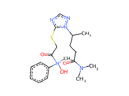 CC(CCC(=O)N(C)C)n1ncnc1SCC(=O)[N+](C)(O)c1ccccc1